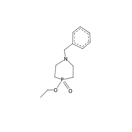 CCOP1(=O)CCN(Cc2ccccc2)CC1